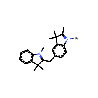 CCC[N+]1=C(C)C(C)(C)c2cc(CC3=[N+](C)c4ccccc4C3(C)C)ccc21